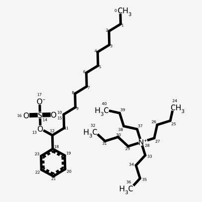 CCCCCCCCCCCCC(OS(=O)(=O)[O-])c1ccccc1.CCCC[N+](CCCC)(CCCC)CCCC